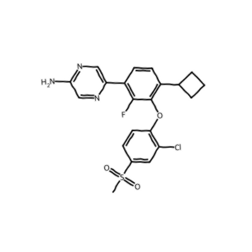 CS(=O)(=O)c1ccc(Oc2c(C3CCC3)ccc(-c3cnc(N)cn3)c2F)c(Cl)c1